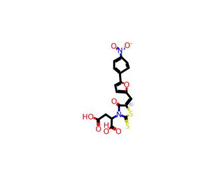 O=C(O)CC(C(=O)O)N1C(=O)/C(=C\c2ccc(-c3ccc([N+](=O)[O-])cc3)o2)SC1=S